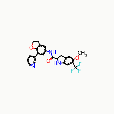 COc1cc2c(cc1C(F)(F)F)NC(C(=O)Nc1cc3c(c(-c4cccnc4)c1)OCC3)C2